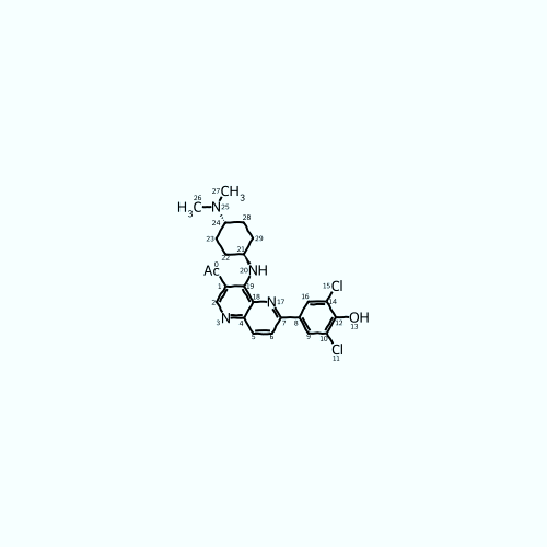 CC(=O)c1cnc2ccc(-c3cc(Cl)c(O)c(Cl)c3)nc2c1N[C@H]1CC[C@H](N(C)C)CC1